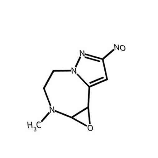 CN1CCn2nc(N=O)cc2C2OC21